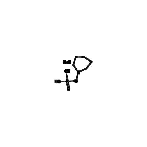 O=P(O)(O)ON1CCCCC1.[NaH]